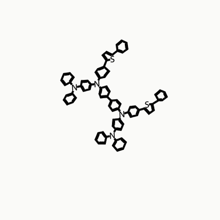 c1ccc(-c2ccc(-c3ccc(N(c4ccc(-c5ccc(N(c6ccc(-c7ccc(-c8ccccc8)s7)cc6)c6ccc(N(c7ccccc7)c7ccccc7)cc6)cc5)cc4)c4ccc(N(c5ccccc5)c5ccccc5)cc4)cc3)s2)cc1